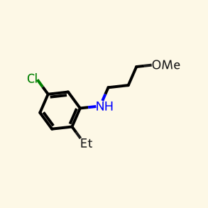 [CH2-][CH+]c1ccc(Cl)cc1NCCCOC